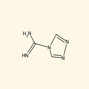 N=C(N)n1cnnc1